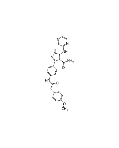 COc1ccc(CC(=O)Nc2ccc(-c3n[nH]c(Nc4cnccn4)c3C(N)=O)cc2)cc1